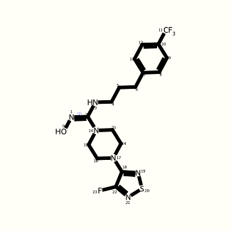 O/N=C(/NCCCc1ccc(C(F)(F)F)cc1)N1CCN(c2nsnc2F)CC1